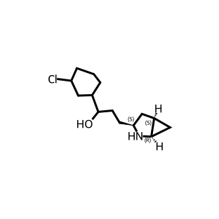 OC(CC[C@H]1C[C@H]2C[C@H]2N1)C1CCCC(Cl)C1